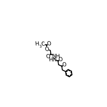 CC(=O)OCC(=O)NNC(=O)CC(=O)Cc1ccccc1